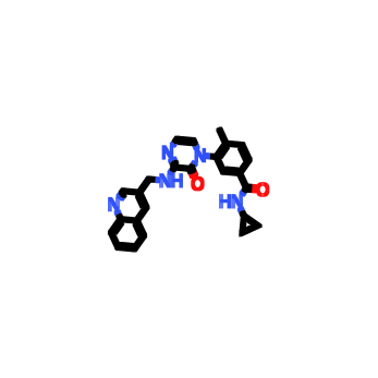 Cc1ccc(C(=O)NC2CC2)cc1-n1ccnc(NCc2cnc3ccccc3c2)c1=O